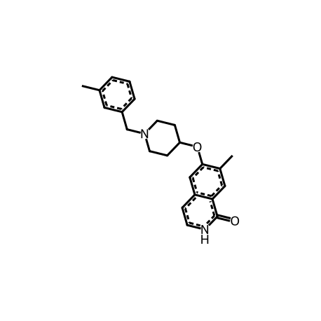 Cc1cccc(CN2CCC(Oc3cc4cc[nH]c(=O)c4cc3C)CC2)c1